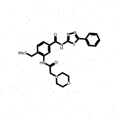 CSCc1ccc(C(=O)Nc2nnc(-c3ccccc3)s2)cc1NC(=O)CN1CCOCC1